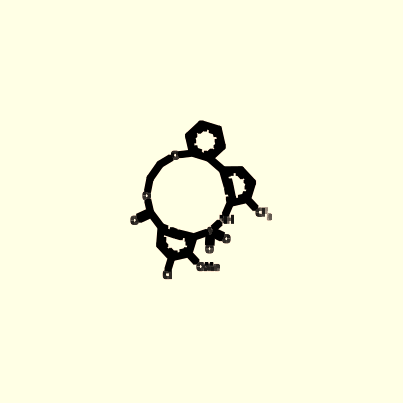 COc1c(Cl)cc2cc1S(=O)(=O)Nc1cc(ccc1C(F)(F)F)-c1ccccc1OCCOC2=O